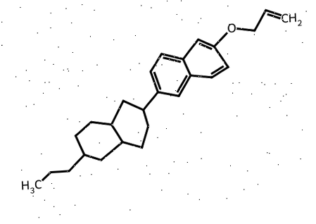 C=CCOc1ccc2cc(C3CCC4CC(CCC)CCC4C3)ccc2c1